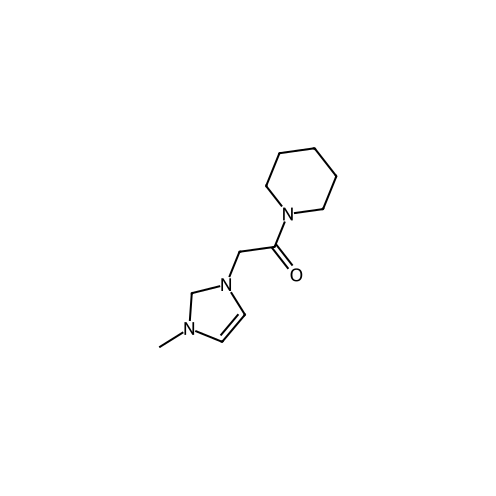 CN1C=CN(CC(=O)N2CCCCC2)C1